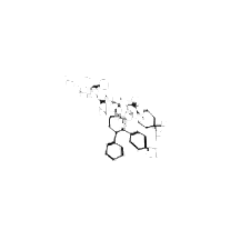 CC(=O)N/C(N)=N/C(=N/S(=O)(=O)N1CCC(F)(F)CC1)N1CCC(c2ccccc2)C(c2ccc(Cl)cc2)=N1